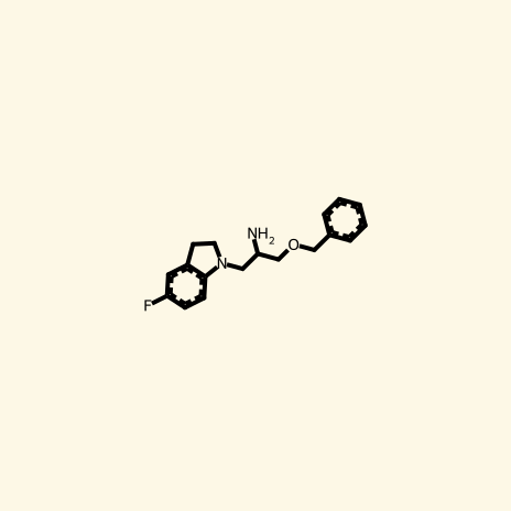 NC(COCc1ccccc1)CN1CCc2cc(F)ccc21